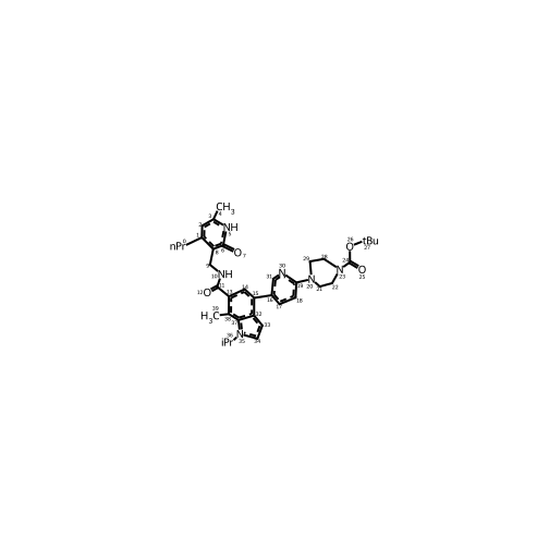 CCCc1cc(C)[nH]c(=O)c1CNC(=O)c1cc(-c2ccc(N3CCN(C(=O)OC(C)(C)C)CC3)nc2)c2ccn(C(C)C)c2c1C